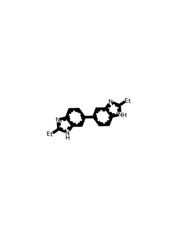 CCc1nc2cc(-c3ccc4nc(CC)[nH]c4c3)ccc2[nH]1